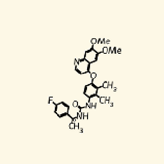 COc1cc2nccc(Oc3ccc(NC(=O)N[C@H](C)c4ccc(F)cc4)c(C)c3C)c2cc1OC